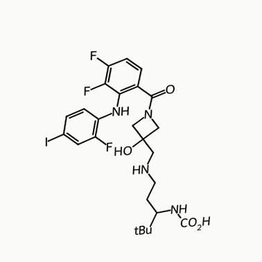 CC(C)(C)C(CCNCC1(O)CN(C(=O)c2ccc(F)c(F)c2Nc2ccc(I)cc2F)C1)NC(=O)O